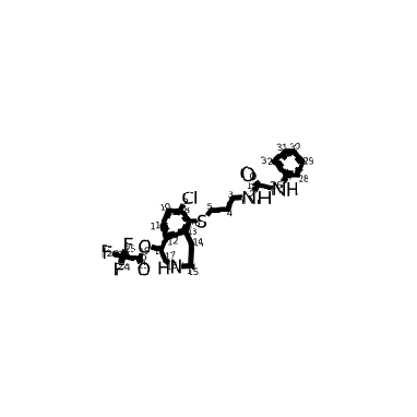 O=C(NCCCSc1c(Cl)ccc2c1CCNCC2OC(=O)C(F)(F)F)Nc1ccccc1